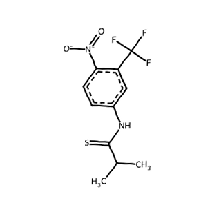 CC(C)C(=S)Nc1ccc([N+](=O)[O-])c(C(F)(F)F)c1